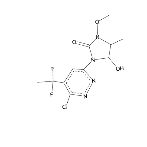 CON1C(=O)N(c2cc(C(C)(F)F)c(Cl)nn2)C(O)C1C